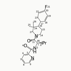 CC(C)[C@@H](NC(=O)c1ccccn1)C(=O)N1CCC(C2C=CC(F)=CC2)C(C)(C)C1